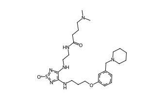 CN(C)CCCC(=O)NCCNc1n[s+]([O-])nc1NCCCOc1cccc(CN2CCCCC2)c1